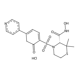 CC1(C)SCCN(S(=O)(=O)C2=CC=C(c3ccncc3)CC2=O)[C@@H]1C(=O)NO.Cl